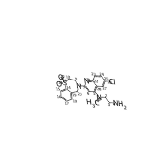 CN(CCN)c1cc(N2CCS(=O)(=O)c3ccccc3C2)nc2ccc(Cl)cc12